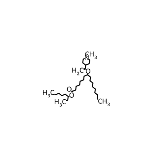 C=C(OC(CCCCCCCCC)CCCCCCC(=O)OC(CC)CCCCC)C1CCN(C)CC1